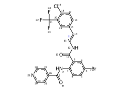 O=C(Nc1ccc(Br)cc1C(=O)N/N=C/c1ccc(Cl)c(C(F)(F)F)c1)c1ccncc1